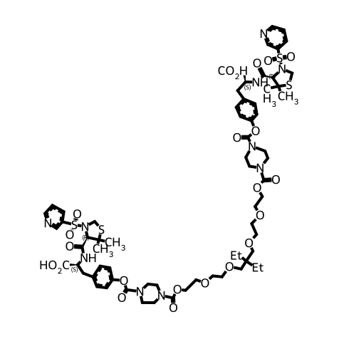 CCC(CC)(COCCOCCOC(=O)N1CCN(C(=O)Oc2ccc(C[C@H](NC(=O)[C@H]3N(S(=O)(=O)c4cccnc4)CSC3(C)C)C(=O)O)cc2)CC1)COCCOCCOC(=O)N1CCN(C(=O)Oc2ccc(C[C@H](NC(=O)[C@H]3N(S(=O)(=O)c4cccnc4)CSC3(C)C)C(=O)O)cc2)CC1